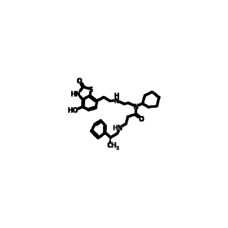 C[C@@H](CNCCC(=O)N(CCNCCc1ccc(O)c2[nH]c(=O)sc12)C1CCCCC1)c1ccccc1